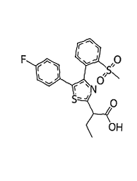 CCC(C(=O)O)c1nc(-c2ccccc2S(C)(=O)=O)c(-c2ccc(F)cc2)s1